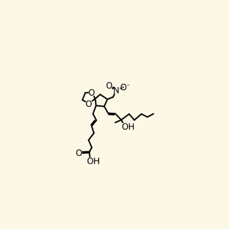 CCCCCC(C)(O)/C=C/C1C(C[N+](=O)[O-])CC2(OCCO2)C1C/C=C/CCCC(=O)O